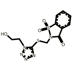 O=C1c2ccccc2S(=O)(=O)N1CSc1nnnn1CCO